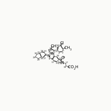 Cc1ccc(-c2nc(N(Cc3ccc(C(=O)NCCC(=O)O)cc3)c3ccc4c(c3)CCC4)sc2C)cc1Cl